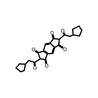 O=C(CC1CCCC1)C1C(=O)c2cc3c(cc2C1=O)C(=O)C(C(=O)CC1CCCC1)C3=O